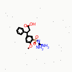 COc1ccc(C(CC(=O)O)c2ccccc2)cc1S(=O)(=O)N=C(N)N